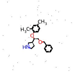 Cc1ccc(O[C@@H](COCc2ccccc2)[C@H]2CCNC2)c(C)c1